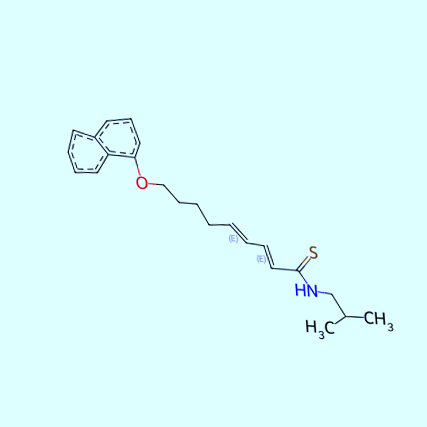 CC(C)CNC(=S)/C=C/C=C/CCCCOc1cccc2ccccc12